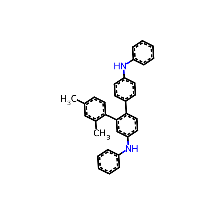 Cc1ccc(-c2cc(Nc3ccccc3)ccc2-c2ccc(Nc3ccccc3)cc2)c(C)c1